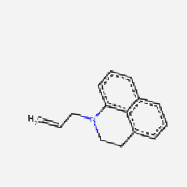 C=CCN1CCc2cccc3cccc1c23